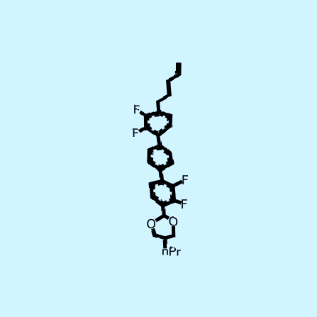 C=CCCCc1ccc(-c2ccc(-c3ccc(C4OCC(CCC)CO4)c(F)c3F)cc2)c(F)c1F